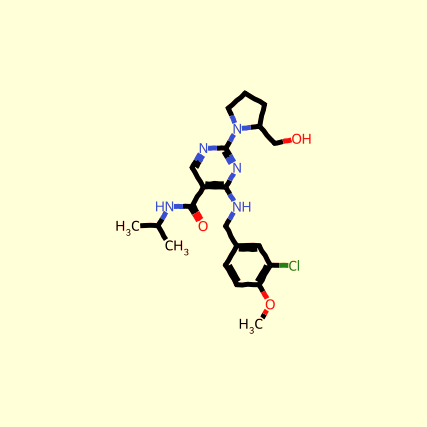 COc1ccc(CNc2nc(N3CCCC3CO)ncc2C(=O)NC(C)C)cc1Cl